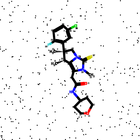 C[C@H]1c2c(CC(=O)NC3CCOCC3)n(C)c(=S)n2C[C@]1(C)c1cc(Cl)ccc1F